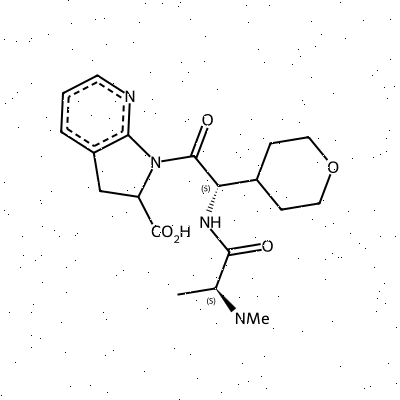 CN[C@@H](C)C(=O)N[C@H](C(=O)N1c2ncccc2CC1C(=O)O)C1CCOCC1